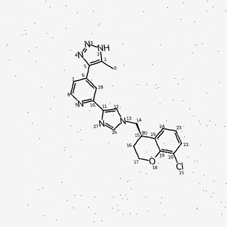 Cc1[nH]nnc1-c1ccnc(-c2cn(C[C@@H]3CCOc4c(Cl)cccc43)cn2)c1